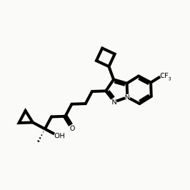 C[C@@](O)(CC(=O)CCCc1nn2ccc(C(F)(F)F)cc2c1C1CCC1)C1CC1